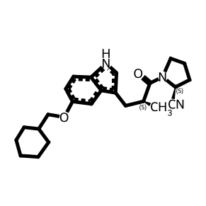 C[C@@H](Cc1c[nH]c2ccc(OCC3CCCCC3)cc12)C(=O)N1CCC[C@H]1C#N